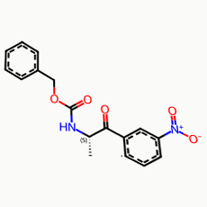 C[C@H](NC(=O)OCc1ccccc1)C(=O)c1[c]ccc([N+](=O)[O-])c1